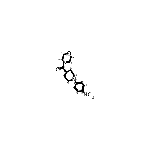 O=C(C1CCN(c2ccc([N+](=O)[O-])cc2)CC1)N1CCOCC1